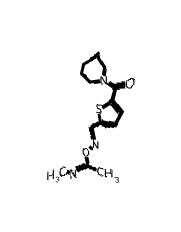 C/N=C(/C)O/N=C/c1ccc(C(=O)N2CCCCC2)s1